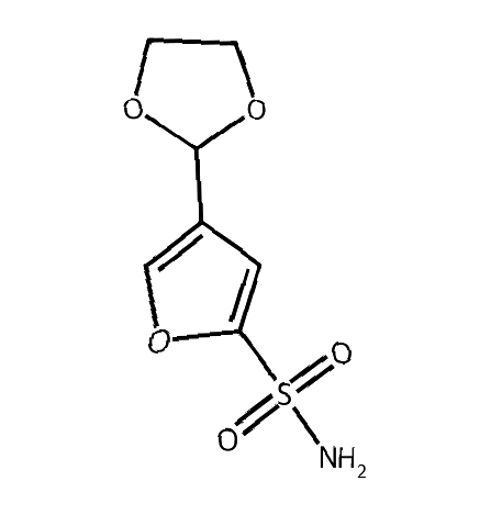 NS(=O)(=O)c1cc(C2OCCO2)co1